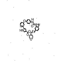 CCC(OC(=O)c1c[nH]c(-c2cc(Oc3ccc(NC(=O)Nc4cc(C)ccc4F)cc3)ccn2)c1)N1CCOCC1